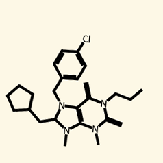 C=C1C2=C(N(C)C(=C)N1CCC)N(C)C(CC1CCCC1)N2Cc1ccc(Cl)cc1